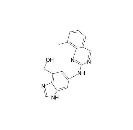 Cc1cccc2cnc(Nc3cc(CO)c4nc[nH]c4c3)nc12